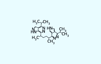 CC(C)c1nnc(C(C)CCC(C)c2nnc(C(C)C)c3cn[nH]c23)c2c[nH]cc12